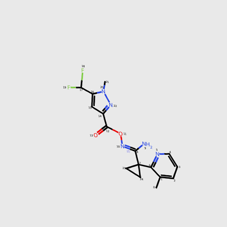 Cc1cccnc1C1(/C(N)=N/OC(=O)c2cc(C(F)F)n(C)n2)CC1